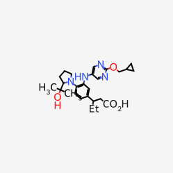 CCC(CC(=O)O)c1ccc(N2CCCC2C(C)(C)O)c(Nc2cnc(OCC3CC3)nc2)c1